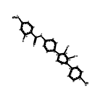 CCCCCc1ccc(C(=O)Oc2ccc(-c3ccc(-c4ccc(CCC)cc4)c(F)c3F)cc2)c(F)c1